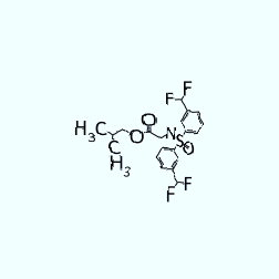 CC(C)COC(=O)CN=S(=O)(c1cccc(C(F)F)c1)c1cccc(C(F)F)c1